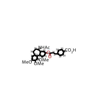 COc1cc2c(c(OC)c1OC)-c1ccc(OC(=O)CCc3ccc(C(=O)O)cc3)cc1[C@@H](NC(C)=O)CC2